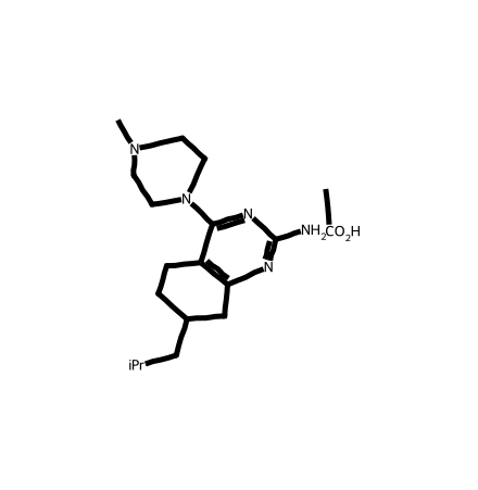 CC(=O)O.CC(C)CC1CCc2c(nc(N)nc2N2CCN(C)CC2)C1